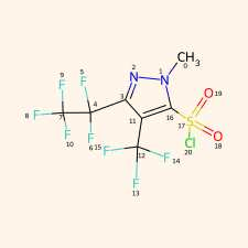 Cn1nc(C(F)(F)C(F)(F)F)c(C(F)(F)F)c1S(=O)(=O)Cl